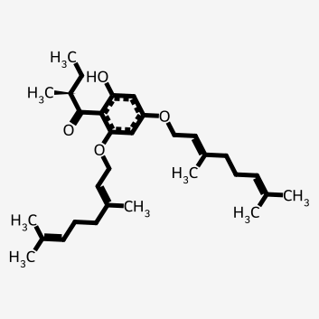 CC[C@H](C)C(=O)c1c(O)cc(OC/C=C(\C)CCC=C(C)C)cc1OC/C=C(\C)CCC=C(C)C